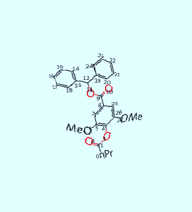 CCCC(=O)Oc1c(OC)cc(C(=O)OC(c2ccccc2)c2ccccc2)cc1OC